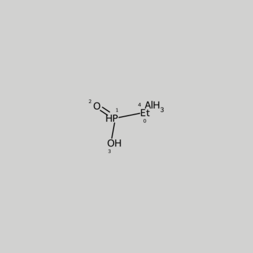 CC[PH](=O)O.[AlH3]